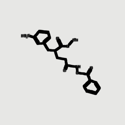 CC(C)(C)OC(=O)C(CCC(=O)NOC(=O)c1ccccc1)Cc1cccc(C(=O)O)c1